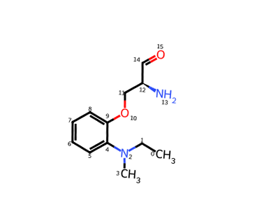 CCN(C)c1ccccc1OC[C@H](N)C=O